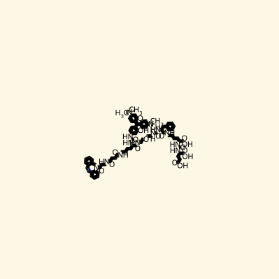 CN(C)c1ccc2c(-c3ccc(NC(=O)NC(CCCCNC(=O)CCC(=O)NCCC(=O)N4Cc5ccccc5/C=C\c5ccccc54)C(=O)NCCOCCNC(=O)NC(Cc4ccccc4)C(=O)NCCCCC(NC(=O)NC(CCC(=O)O)C(=O)O)C(=O)O)cc3O)c3ccc(=[N+](C)C)cc-3oc2c1